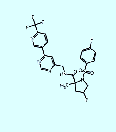 CC1(C(=O)NCc2cc(-c3ccc(C(F)(F)F)nc3)ncn2)CC(F)CN1S(=O)(=O)c1ccc(F)cc1